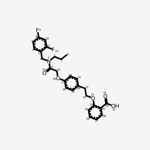 CCCN(Cc1ccc(F)cc1F)C(=O)COc1ccc(CCOc2ccccc2C(=O)O)cc1